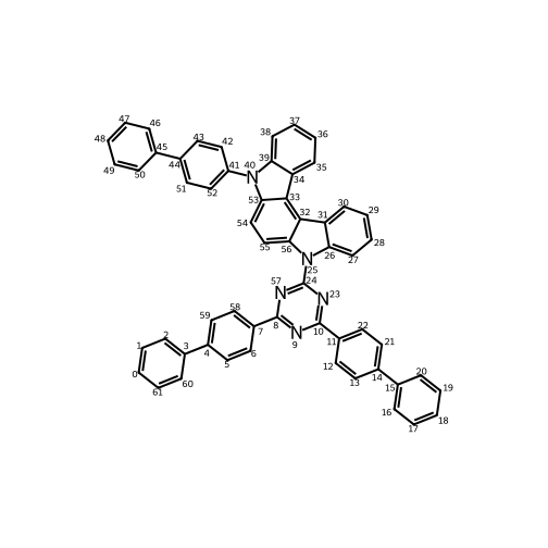 c1ccc(-c2ccc(-c3nc(-c4ccc(-c5ccccc5)cc4)nc(-n4c5ccccc5c5c6c7ccccc7n(-c7ccc(-c8ccccc8)cc7)c6ccc54)n3)cc2)cc1